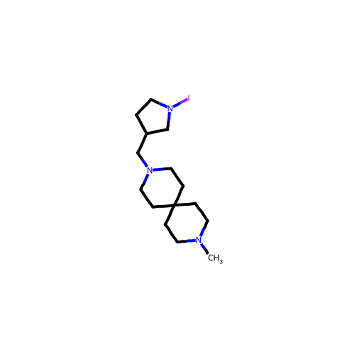 CN1CCC2(CC1)CCN(CC1CCN(I)C1)CC2